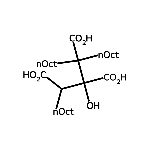 CCCCCCCCC(C(=O)O)C(O)(C(=O)O)C(CCCCCCCC)(CCCCCCCC)C(=O)O